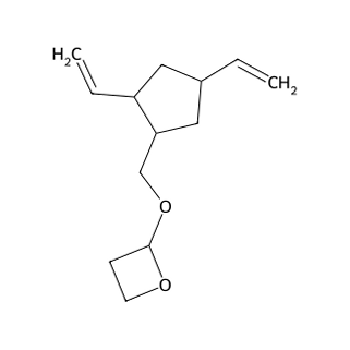 C=CC1CC(C=C)C(COC2CCO2)C1